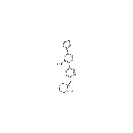 Oc1cc(-n2ccnc2)ccc1-c1ccc(O[C@@H]2CCCC[C@H]2F)nn1